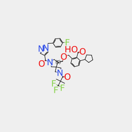 CC(C)(C(=O)N1CC2(CN(C(=O)c3cnn(Cc4ccc(F)cc4)c3)C[C@H]2COCc2cccc(C3CCCC3)c2C(=O)O)C1)C(F)(F)F